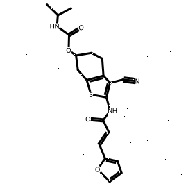 CC(C)NC(=O)OC1CCc2c(sc(NC(=O)C=Cc3ccco3)c2C#N)C1